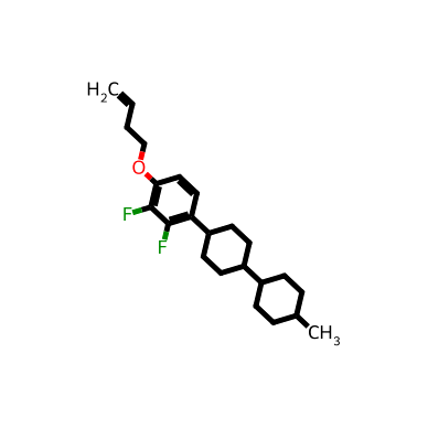 C=CCCOc1ccc(C2CCC(C3CCC(C)CC3)CC2)c(F)c1F